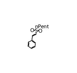 CCCCCS(=O)(=O)/C=C/c1ccccc1